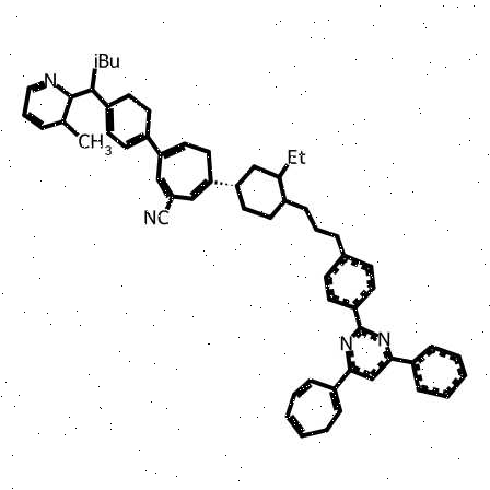 CCC(C)C(C1=CC=C(C2=CCC([C@H]3CCC(CCCc4ccc(-c5nc(C6=CCC=CC=C6)cc(-c6ccccc6)n5)cc4)C(CC)C3)=CC(C#N)=C2)CC1)C1N=CC=CC1C